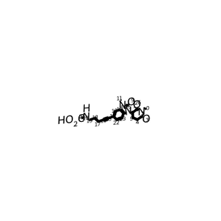 CN1C(=O)CCC(n2c(=O)n(C)c3cc(C#CCCCNC(=O)O)ccc32)C1=O